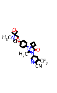 C=C1N(c2cnc(C#N)c(C(F)(F)F)c2)C(=O)C2(CCC2)N1c1ccc(OCC2(N(C)C)COC2)cc1